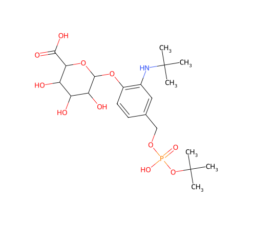 CC(C)(C)Nc1cc(COP(=O)(O)OC(C)(C)C)ccc1OC1OC(C(=O)O)C(O)C(O)C1O